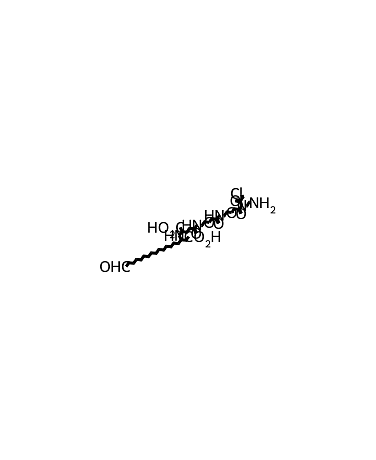 NCCN(C(=O)CCl)C(=O)COCCNC(=O)COCCNC(=O)CCC(NC(CCCCCCCCCCCCCCC=O)CC(=O)O)C(=O)O